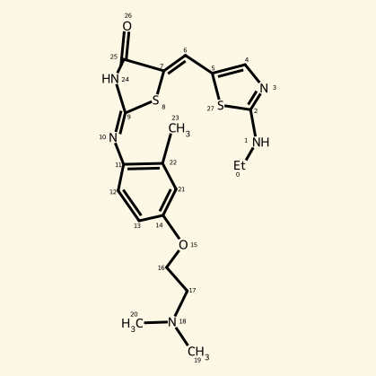 CCNc1ncc(C=C2SC(=Nc3ccc(OCCN(C)C)cc3C)NC2=O)s1